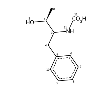 C[C@H](O)C(Cc1ccccc1)NC(=O)O